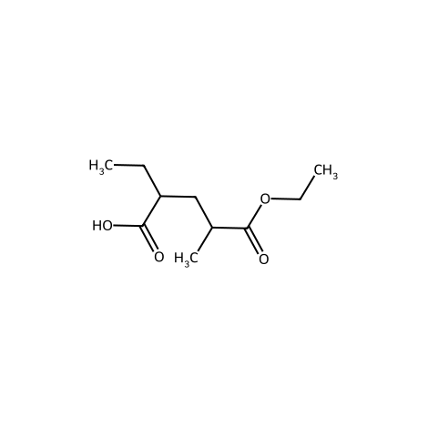 CCOC(=O)C(C)CC(CC)C(=O)O